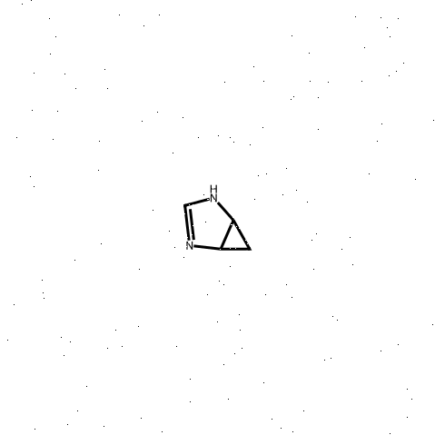 C1=NC2CC2N1